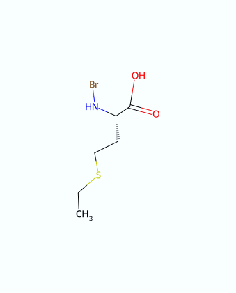 CCSCC[C@H](NBr)C(=O)O